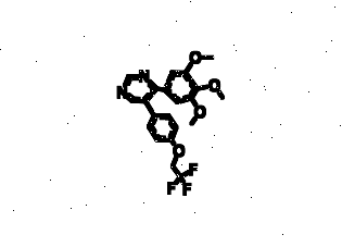 COc1cc(-c2ncncc2-c2ccc(OCC(F)(F)F)cc2)cc(OC)c1OC